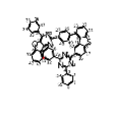 c1ccc(-c2nc(-c3ccccc3)nc(-c3ccc4sc5cccc(-c6ccc(-c7nc(-c8ccccc8)c8oc9ccccc9c8n7)cc6)c5c4c3)n2)cc1